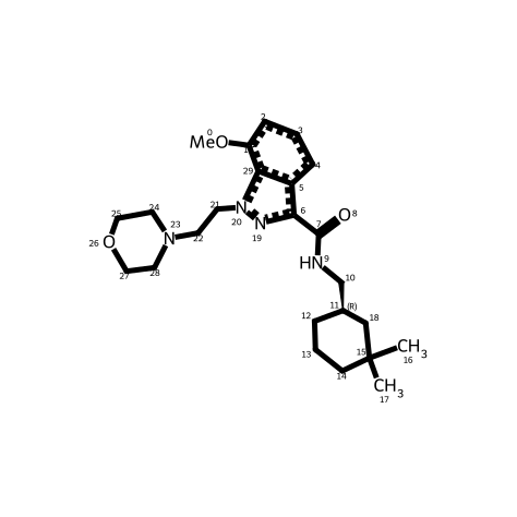 COc1cccc2c(C(=O)NC[C@@H]3CCCC(C)(C)C3)nn(CCN3CCOCC3)c12